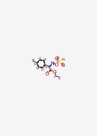 CCOC(=O)C(=NOS(C)(=O)=O)c1ccc(C)cc1